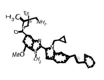 CC[C@@]1(CN)CN(C(=O)c2cc(OC)c3c(c2)nc(-c2cc4ccc(/C=C/c5ccccc5)cc4n2CC2CC2)n3C)C1C